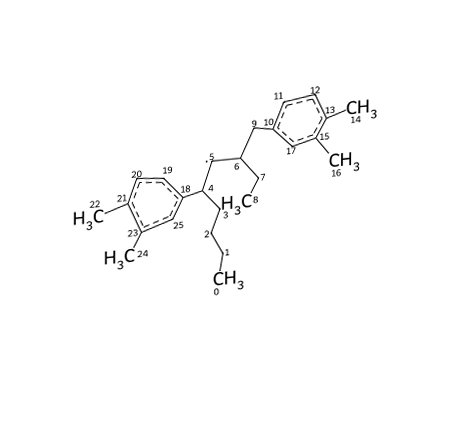 CCCCC([CH]C(CC)Cc1ccc(C)c(C)c1)c1ccc(C)c(C)c1